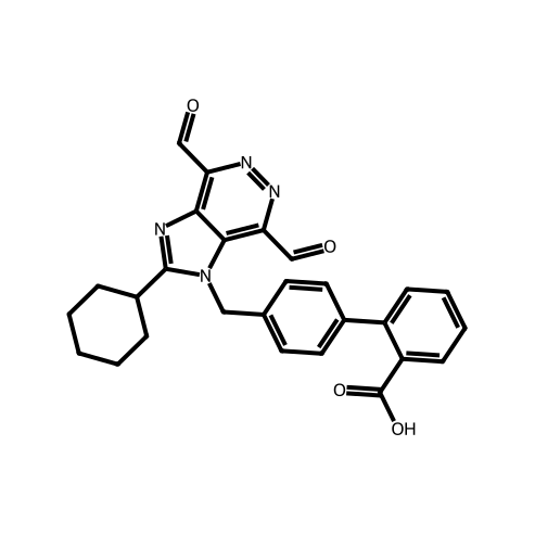 O=Cc1nnc(C=O)c2c1nc(C1CCCCC1)n2Cc1ccc(-c2ccccc2C(=O)O)cc1